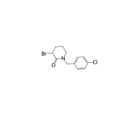 O=C1C(Br)CCCN1Cc1ccc(Cl)cc1